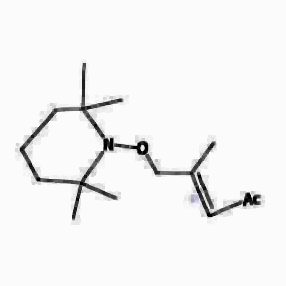 CC(=O)/C=C(\C)CON1C(C)(C)CCCC1(C)C